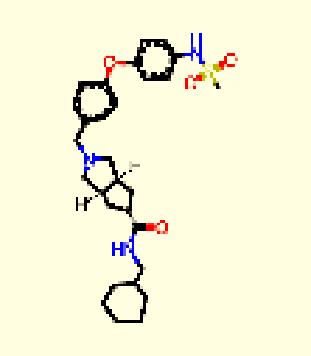 CS(=O)(=O)Nc1ccc(Oc2ccc(CN3C[C@H]4C[C@H](C(=O)NCC5CCCCC5)C[C@H]4C3)cc2)cc1